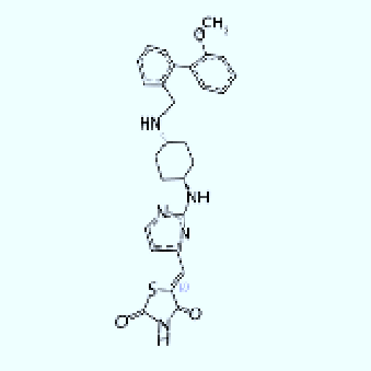 COc1ccccc1-c1ccccc1CN[C@H]1CC[C@H](Nc2nccc(/C=C3\SC(=O)NC3=O)n2)CC1